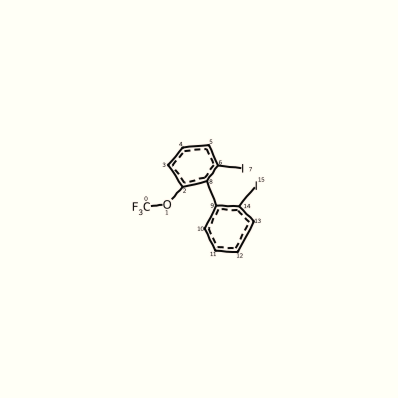 FC(F)(F)Oc1cccc(I)c1-c1ccccc1I